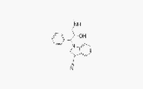 CNC[C@H](O)[C@@H](c1ccccc1)n1cc(C#N)c2ccccc21